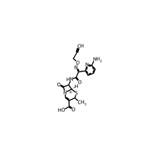 C#CCON=C(C(=O)NC1C(=O)N2C=C(C(=O)O)C(C)S[C@H]12)c1cccc(N)n1